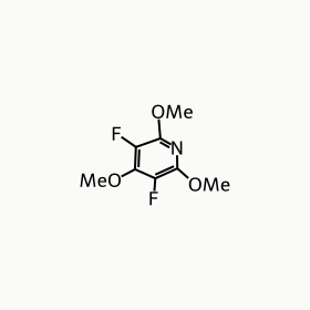 COc1nc(OC)c(F)c(OC)c1F